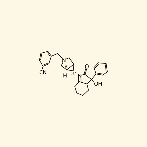 N#Cc1cccc(CN2CC3[C@H](C2)[C@H]3NC(=O)C(O)(c2ccccc2)C2CCCCC2)c1